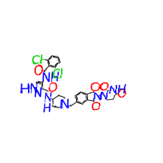 O=C1CCN(N2C(=O)c3ccc(CN4CCC(NC(=O)c5n[nH]cc5NC(=O)c5c(Cl)cccc5Cl)CC4)cc3C2=O)C(=O)N1